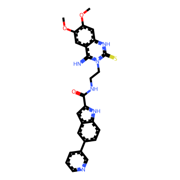 COc1cc2[nH]c(=S)n(CCNC(=O)c3cc4cc(-c5cccnc5)ccc4[nH]3)c(=N)c2cc1OC